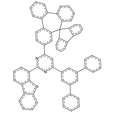 c1ccc(-c2cc(-c3ccccc3)cc(-c3cc(-c4ccc5c(c4)C4(c6ccccc6-c6ccccc6-5)c5ccccc5-c5ccccc54)nc(-c4cccc5c4oc4ccccc45)n3)c2)cc1